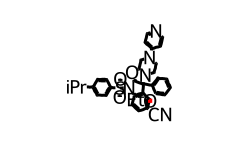 CCOc1ccccc1C1(N2CCN(c3ccncc3)CC2)C(=O)N(S(=O)(=O)c2ccc(C(C)C)cc2)c2ccc(C#N)cc21